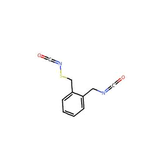 O=C=NCc1ccccc1CSN=C=O